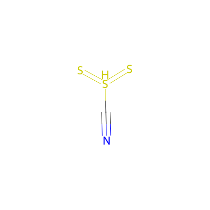 N#C[SH](=S)=S